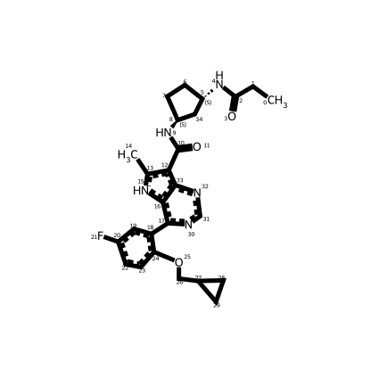 CCC(=O)N[C@H]1CC[C@H](NC(=O)c2c(C)[nH]c3c(-c4cc(F)ccc4OCC4CC4)ncnc23)C1